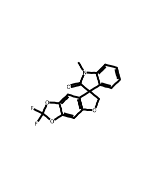 CN1C(=O)C2(COc3cc4c(cc32)OC(F)(F)O4)c2ccccc21